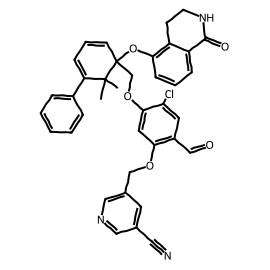 CC1(C)C(c2ccccc2)=CC=CC1(COc1cc(OCc2cncc(C#N)c2)c(C=O)cc1Cl)Oc1cccc2c1CCNC2=O